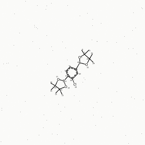 CC1(C)OB(c2ccc(B3OC(C)(C)C(C)(C)O3)c(Cl)c2)OC1(C)C